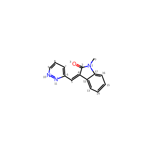 CN1C(=O)C(=Cc2cccnn2)c2ccccc21